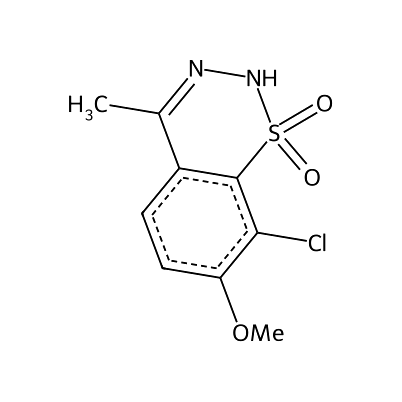 COc1ccc2c(c1Cl)S(=O)(=O)NN=C2C